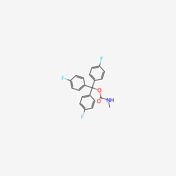 CNC(=O)OC(c1ccc(F)cc1)(c1ccc(F)cc1)c1ccc(F)cc1